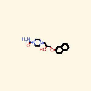 NC(=O)N1CCN(CC(O)COc2ccc3ccccc3c2)CC1